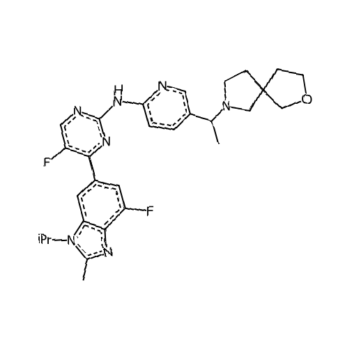 Cc1nc2c(F)cc(-c3nc(Nc4ccc(C(C)N5CCC6(CCOC6)C5)cn4)ncc3F)cc2n1C(C)C